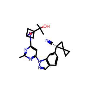 Cc1nc(N2CC3(C(C)(C)O)CC2C3)cc(-n2ncc3ccc([C@@]4(C#N)CC45CC5)cc32)n1